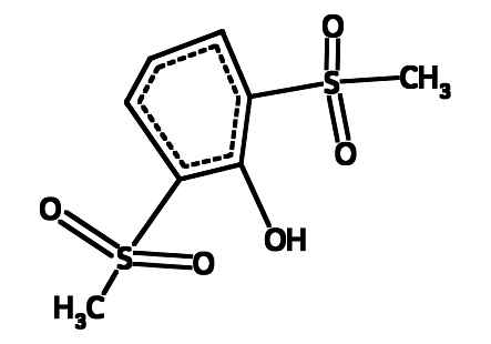 CS(=O)(=O)c1cccc(S(C)(=O)=O)c1O